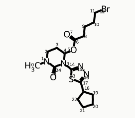 CN1CCC(OC(=O)CCCCBr)N(c2nnc(C3CCCC3)s2)C1=O